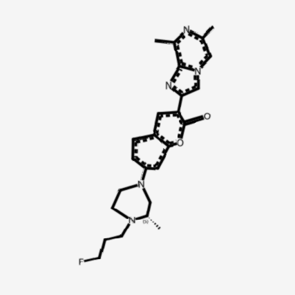 Cc1cn2cc(-c3cc4ccc(N5CCN(CCCF)[C@@H](C)C5)cc4oc3=O)nc2c(C)n1